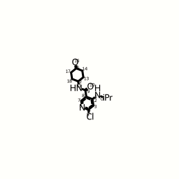 CC(C)Nc1cc(Cl)ncc1C(=O)NC1CCC(=O)CC1